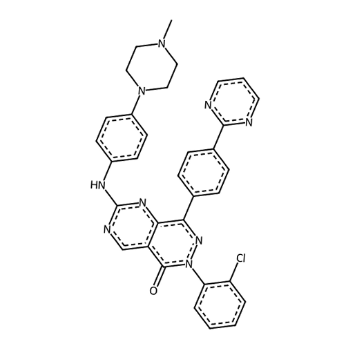 CN1CCN(c2ccc(Nc3ncc4c(=O)n(-c5ccccc5Cl)nc(-c5ccc(-c6ncccn6)cc5)c4n3)cc2)CC1